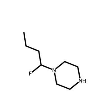 CCCC(F)N1CCNCC1